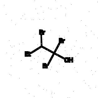 CCC(Br)C(O)(Br)Br